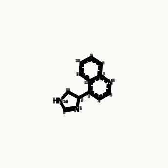 C1=NC(c2ccnc3ccccc23)CN1